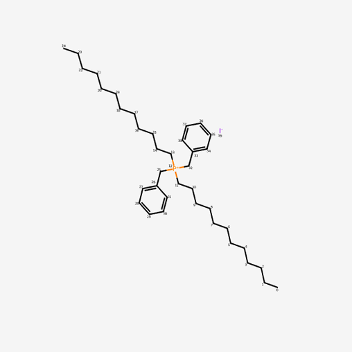 CCCCCCCCCCCC[P+](CCCCCCCCCCCC)(Cc1ccccc1)Cc1ccccc1.[I-]